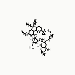 CC1([C@@H]2CCC(N=[N+]=[N-])C([C@@H]3C(N=[N+]=[N-])CC(N=[N+]=[N-])[C@H](O)[C@H]3O[C@@H]3O[C@H](CO)[C@@H](O[C@H]4O[C@@H](CN=[N+]=[N-])C[C@H](O)C4N=[N+]=[N-])[C@H]3O)O2)CC1